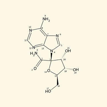 NC(=O)[C@@]1(n2cnc3c(N)ncnc32)O[C@H](CO)[C@@H](O)[C@H]1O